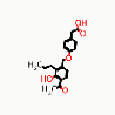 CCCc1c(COc2ccc(CC(=O)O)cc2)ccc(C(C)=O)c1O